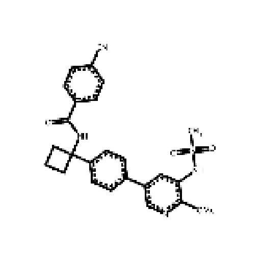 COc1ncc(-c2ccc(C3(NC(=O)c4ccc(C#N)cc4)CCC3)cc2)cc1NS(C)(=O)=O